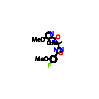 COc1cc(-c2nc([C@H](C)NC(=O)c3nccc(OC)c3OC(C)=O)no2)ccc1F